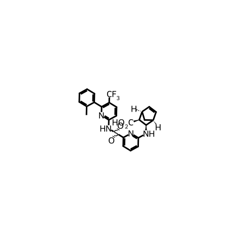 Cc1ccccc1-c1nc(NS(=O)(=O)c2cccc(N[C@H]3[C@@H](C(=O)O)[C@H]4C=C[C@@H]3C4)n2)ccc1C(F)(F)F